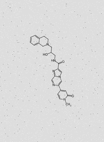 Cn1ccc(-c2cn3cc(C(=O)NCC(O)CN4CCc5ccccc5C4)nc3cn2)cc1=O